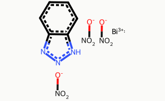 O=[N+]([O-])[O-].O=[N+]([O-])[O-].O=[N+]([O-])[O-].[Bi+3].c1ccc2[nH]nnc2c1